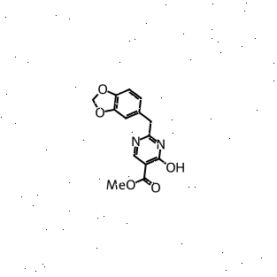 COC(=O)c1cnc(Cc2ccc3c(c2)OCO3)nc1O